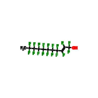 OC(F)(F)C(F)=C(F)C(F)(F)C(F)(F)C(F)(F)C(F)(F)C(F)(F)C(F)(F)C(F)(F)C(F)(F)F